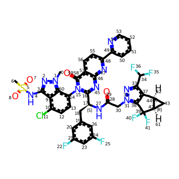 Cn1nc(NS(C)(=O)=O)c2c(Cl)ccc(-n3c([C@H](Cc4cc(F)cc(F)c4)NC(=O)Cn4nc(C(F)F)c5c4C(F)(F)[C@@H]4C[C@H]54)nc4nc(-c5ccccn5)ccc4c3=O)c21